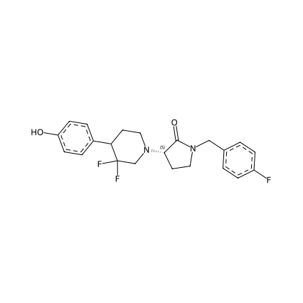 O=C1[C@@H](N2CCC(c3ccc(O)cc3)C(F)(F)C2)CCN1Cc1ccc(F)cc1